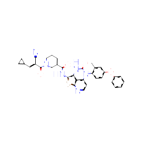 Cc1cc(Oc2ccccc2)ccc1N1C(=O)Nc2c(NC(=O)C3CCCN(C(=O)C(C#N)=CC4CC4)C3)sc3nccc1c23